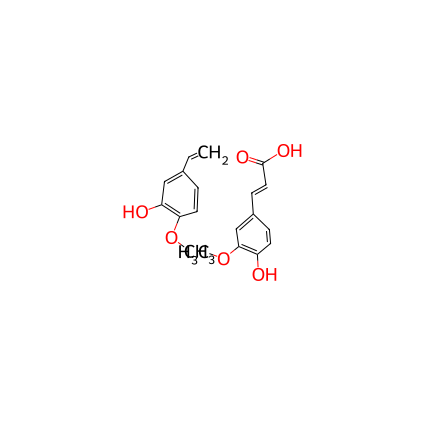 C=Cc1ccc(OC)c(O)c1.COc1cc(/C=C/C(=O)O)ccc1O